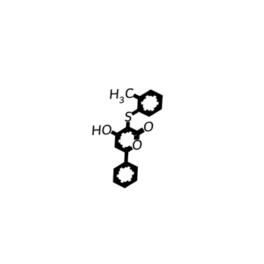 Cc1ccccc1Sc1c(O)cc(-c2ccccc2)oc1=O